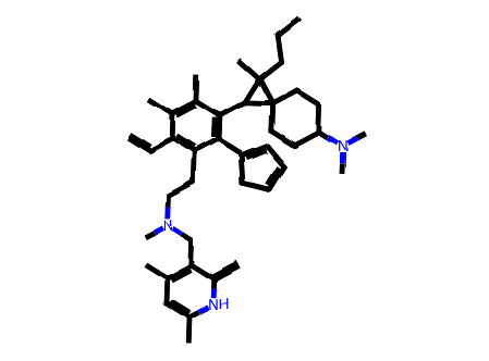 C=Cc1c(C)c(C)c(C2C(C)(CCC)C23CCC(N(C)C)CC3)c(C2=CC=CC2)c1CCN(C)CC1=C(C)C=C(C)NC1=C